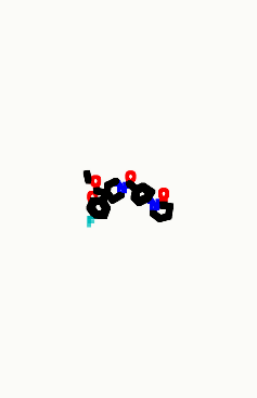 CCOC(=O)C1(c2ccc(F)cc2)CCN(C(=O)c2ccc(N3CCCCC3=O)cc2)CC1